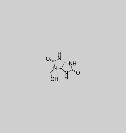 O=C1NC2NC(=O)N(CO)C2N1